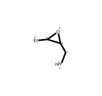 [CH2]CCCC1OC1CC